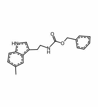 Cc1ccc2[nH]cc(CCNC(=O)OCc3ccccc3)c2c1